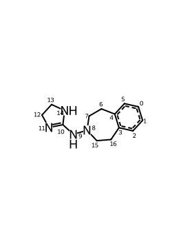 c1ccc2c(c1)CCN(NC1=NCCN1)CC2